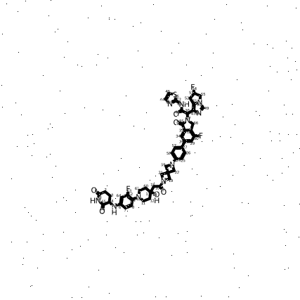 O=C1CCC(Nc2ccc(N3CCC(O)(CC(=O)N4CC5(C4)CN(c4ccc(-c6cc(F)c7c(c6)C(=O)N(C(C(=O)Nc6nccs6)c6ncn8c6CC(F)C8)C7)cc4)C5)CC3)c(F)c2)C(=O)N1